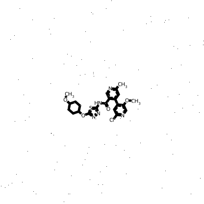 COc1cnc(Cl)cc1-c1cc(C)ncc1C(=O)Nc1nnc(OC2CCC(OC)CC2)s1